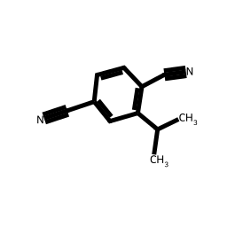 C[C](C)c1cc(C#N)ccc1C#N